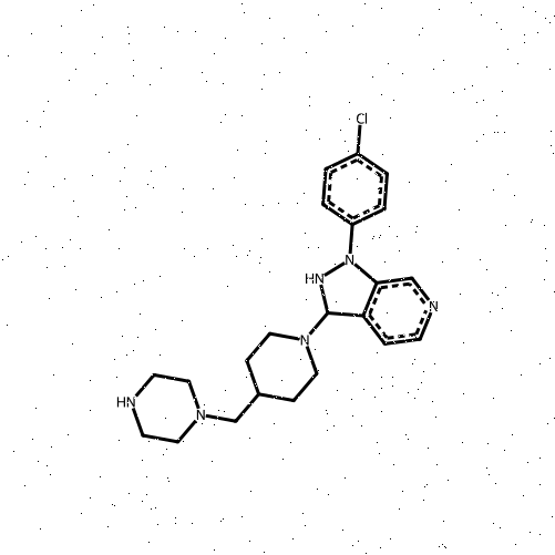 Clc1ccc(N2NC(N3CCC(CN4CCNCC4)CC3)c3ccncc32)cc1